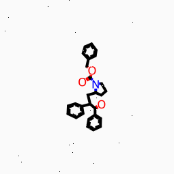 O=C(c1ccccc1)C(CC1CCCN1C(=O)OCc1ccccc1)c1ccccc1